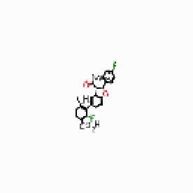 CNC(=O)C1c2cc(-c3c(C)ccc(C(=O)O)c3F)ccc2OC1c1ccc(F)cc1